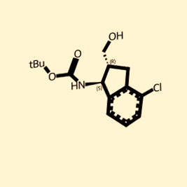 CC(C)(C)OC(=O)N[C@@H]1c2cccc(Cl)c2C[C@H]1CO